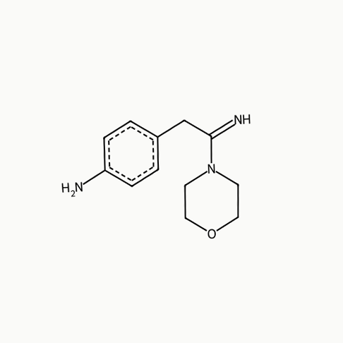 N=C(Cc1ccc(N)cc1)N1CCOCC1